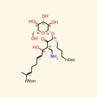 CCCCCCCCCCCCCC[C@@H](O[C@@H]1O[C@H](CO)[C@@H](O)[C@H](O)[C@H]1O)C(=O)[C@@H](CN)[C@H](O)/C=C/CC/C=C(\C)CCCCCCCCC